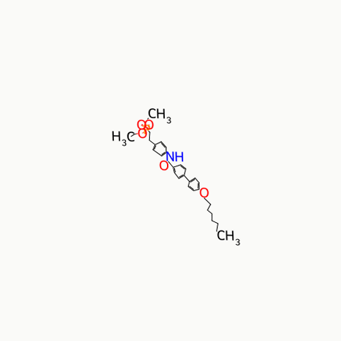 CCCCCCCCOc1ccc(-c2ccc(C(=O)Nc3ccc(CCP(=O)(OCC)OCC)cc3)cc2)cc1